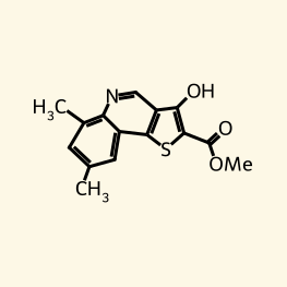 COC(=O)c1sc2c(cnc3c(C)cc(C)cc32)c1O